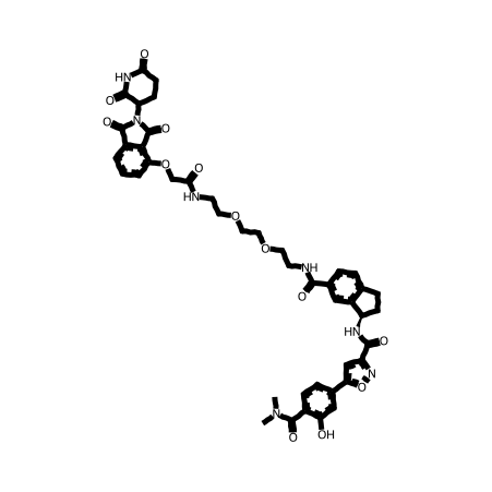 CN(C)C(=O)c1ccc(-c2cc(C(=O)N[C@@H]3CCc4ccc(C(=O)NCCOCCOCCNC(=O)COc5cccc6c5C(=O)N(C5CCC(=O)NC5=O)C6=O)cc43)no2)cc1O